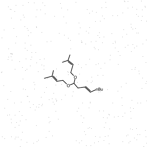 CCCC/C=C/CC(OCC=C(C)C)OCC=C(C)C